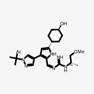 COC[C@H](C)NC(=N)/N=C\c1[nH]c([C@H]2CC[C@H](O)CC2)cc1-c1cnn(C(C)(C)C(C)=O)c1